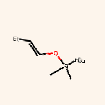 CCC=CO[Si](C)(C)CCCC